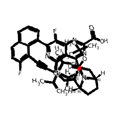 CC(C)[Si](C#Cc1c(F)ccc2cccc(-c3nc4c5c(nc(C(=O)O)nc5c3F)N3C[C@@H]5CC[C@H]([C@H]3CO4)N5C(=O)OC(C)(C)C)c12)(C(C)C)C(C)C